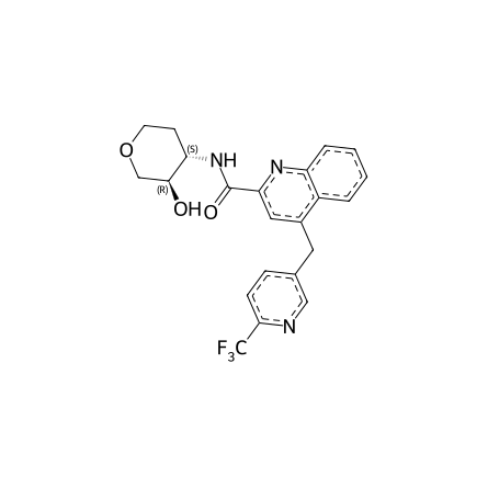 O=C(N[C@H]1CCOC[C@@H]1O)c1cc(Cc2ccc(C(F)(F)F)nc2)c2ccccc2n1